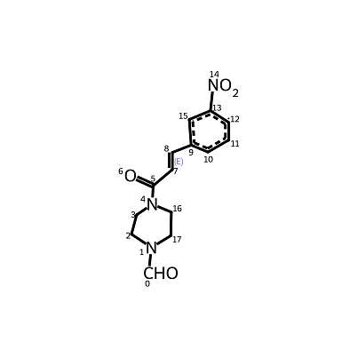 O=CN1CCN(C(=O)/C=C/c2cc[c]c([N+](=O)[O-])c2)CC1